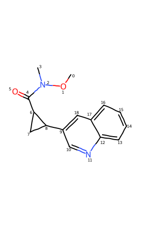 CON(C)C(=O)C1CC1c1cnc2ccccc2c1